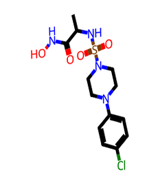 CC(NS(=O)(=O)N1CCN(c2ccc(Cl)cc2)CC1)C(=O)NO